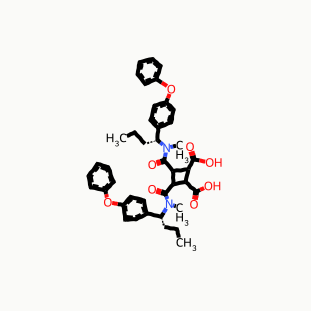 CCC[C@H](c1ccc(Oc2ccccc2)cc1)N(C)C(=O)C1C(C(=O)O)C(C(=O)O)C1C(=O)N(C)[C@H](CCC)c1ccc(Oc2ccccc2)cc1